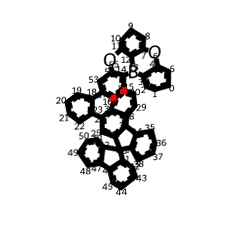 c1ccc2c(c1)Oc1cccc3c1B2c1ccc(-c2ccccc2-c2cc4c(c5ccccc25)-c2ccccc2C42c4ccccc4-c4ccccc42)cc1O3